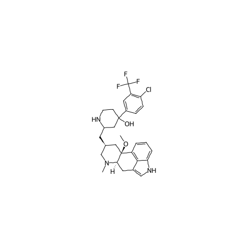 CO[C@]12C[C@H](CC3CC(O)(c4ccc(Cl)c(C(F)(F)F)c4)CCN3)CN(C)[C@@H]1Cc1c[nH]c3cccc2c13